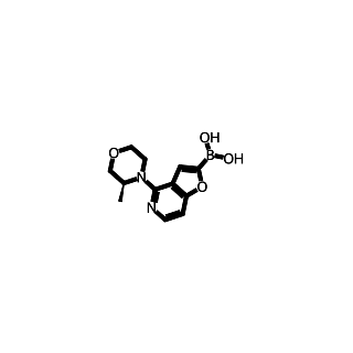 C[C@H]1COCCN1c1nccc2oc(B(O)O)cc12